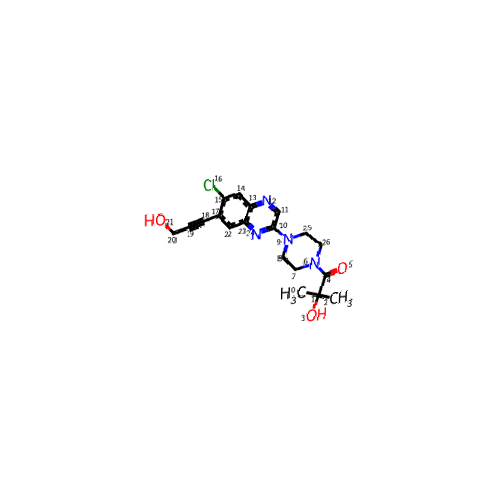 CC(C)(O)C(=O)N1CCN(c2cnc3cc(Cl)c(C#CCO)cc3n2)CC1